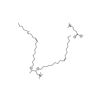 CCCCCCCC/C=C\CCCCCCCCOC(C)C(C[N+](C)(C)C)OCCCCCCCC/C=C\CCCCCCCC.CN(C)CCCC(=O)[O-]